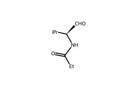 CCC(=O)N[C@H](C=O)C(C)C